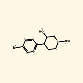 CC(C)(C)N1CCC(c2ccc(Br)cn2)C(O)C1